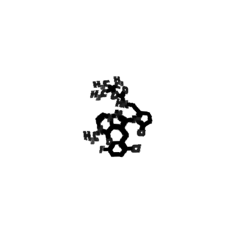 Cn1ccn2nc(N3C(=O)CCC3CNC(=O)OC(C)(C)C)c(Cc3cc(F)ccc3Cl)c2c1=O